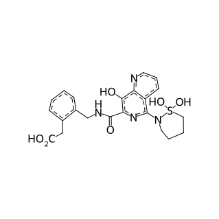 O=C(O)Cc1ccccc1CNC(=O)c1nc(N2CCCCS2(O)O)c2cccnc2c1O